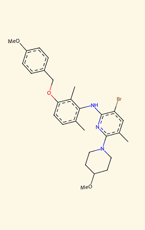 COc1ccc(COc2ccc(C)c(Nc3nc(N4CCC(OC)CC4)c(C)cc3Br)c2C)cc1